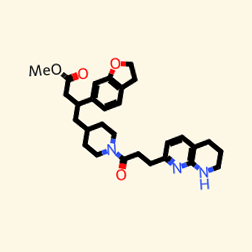 COC(=O)CC(CC1CCN(C(=O)CCc2ccc3c(n2)NCCC3)CC1)c1ccc2c(c1)OCC2